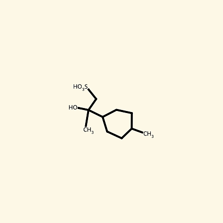 CC1CCC(C(C)(O)CS(=O)(=O)O)CC1